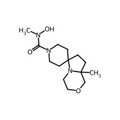 CN(O)C(=O)N1CCC2(CC1)CCC1(C)COCCN12